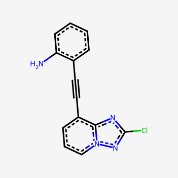 Nc1ccccc1C#Cc1cccn2nc(Cl)nc12